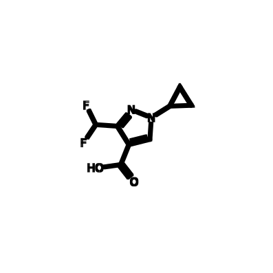 O=C(O)c1cn(C2CC2)nc1C(F)F